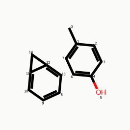 Cc1ccc(O)cc1.c1ccc2c(c1)C2